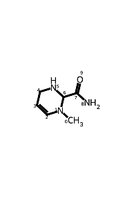 CN1C=CCNC1C(N)=O